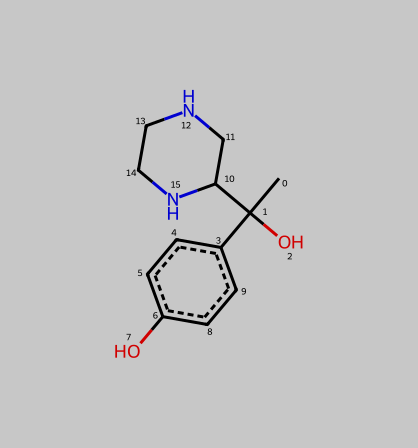 CC(O)(c1ccc(O)cc1)C1CNCCN1